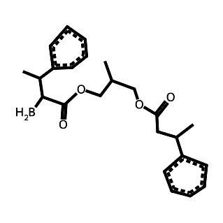 BC(C(=O)OCC(C)COC(=O)CC(C)c1ccccc1)C(C)c1ccccc1